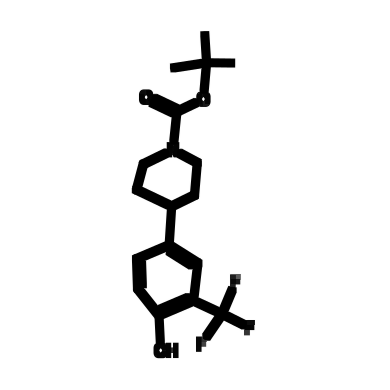 CC(C)(C)OC(=O)N1CCC(c2ccc(O)c(C(F)(F)F)c2)CC1